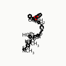 Cc1ncsc1-c1cc(F)c([C@@H](C)NC(=O)[C@@H]2C[C@@H](O)CN2C(=O)[C@@H](c2cc(OCCN3CCC(O[C@H]4C[C@H](Oc5cc(N6C7CCC6CN(c6cc(-c8ccccc8O)nnc6N)C7)ccn5)C4)CC3)no2)C(C)C)cn1